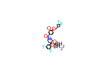 BC1(B)OC2CN(C(=O)c3ccc(OCC4CC(F)(F)C4)c(OC)c3)CCC2(c2cc(F)cc(F)c2)O1